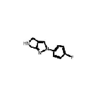 Fc1ccc(-n2cc3c(n2)CNC3)cc1